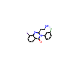 NCCc1nc2c(I)cccc2c(=O)n1-c1cccc(F)c1